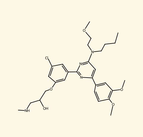 CCCCN(CCOC)c1cc(-c2ccc(OC)c(OC)c2)nc(-c2cc(Cl)cc(OCC(O)CNC)c2)n1